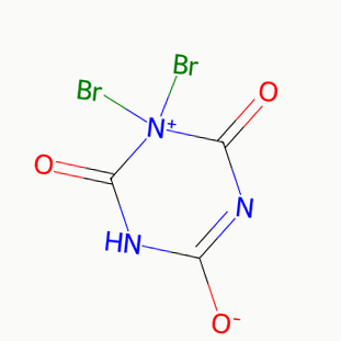 O=C1N=C([O-])NC(=O)[N+]1(Br)Br